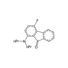 CCCN(CCC)c1ccc(F)c2c1C(=O)c1ccccc1-2